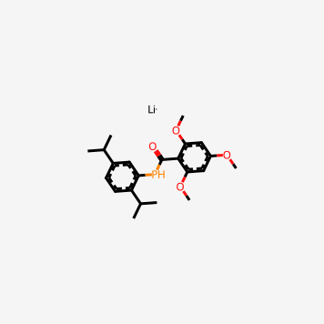 COc1cc(OC)c(C(=O)Pc2cc(C(C)C)ccc2C(C)C)c(OC)c1.[Li]